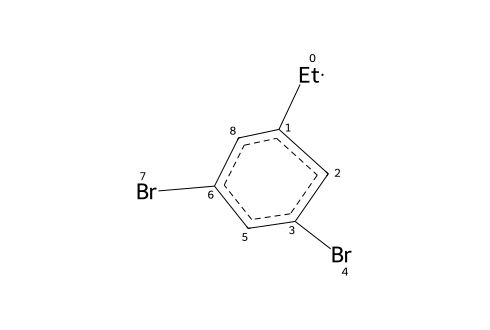 C[CH]c1cc(Br)cc(Br)c1